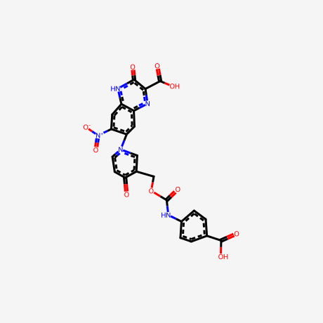 O=C(Nc1ccc(C(=O)O)cc1)OCc1cn(-c2cc3nc(C(=O)O)c(=O)[nH]c3cc2[N+](=O)[O-])ccc1=O